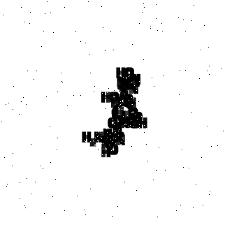 Nc1nc2c(ncn2[C@@H]2OC3CC[C@H]4[C@@H](O)[C@H](n5cnc6c(O)ncnc65)O[C@@H]4COP(=O)(O)O[C@@H]2[C@@H]3F)c(=O)[nH]1